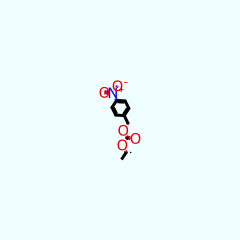 C[CH]OC(=O)OCc1ccc([N+](=O)[O-])cc1